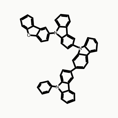 c1ccc(-n2c3ccccc3c3cc(-c4ccc5c6ccccc6n(-c6ccc7c(c6)c6ccccc6n7-c6ccc7oc8ccccc8c7c6)c5c4)ccc32)cc1